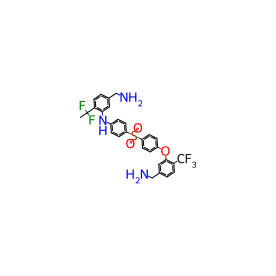 CC(F)(F)c1ccc(CN)cc1Nc1ccc(S(=O)(=O)c2ccc(Oc3cc(CN)ccc3C(F)(F)F)cc2)cc1